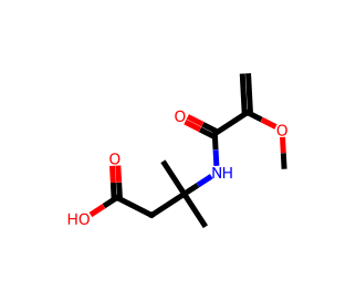 C=C(OC)C(=O)NC(C)(C)CC(=O)O